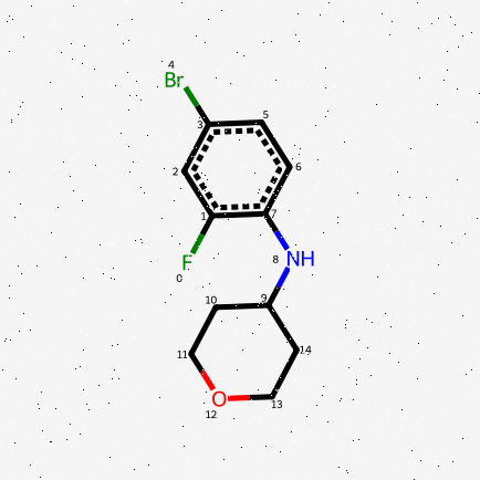 Fc1cc(Br)ccc1NC1CCOCC1